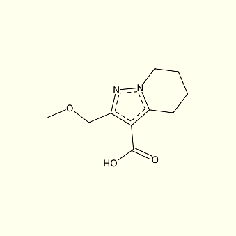 COCc1nn2c(c1C(=O)O)CCCC2